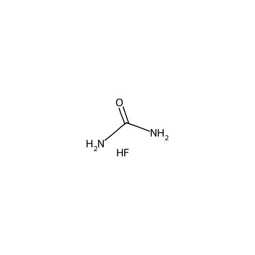 F.NC(N)=O